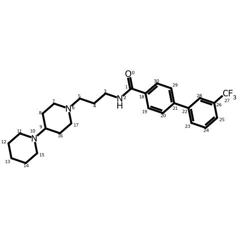 O=C(NCCCN1CCC(N2CCCCC2)CC1)c1ccc(-c2cccc(C(F)(F)F)c2)cc1